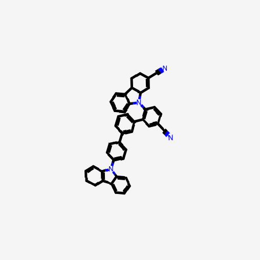 N#CC1=CC2C(CC1)c1ccccc1N2c1ccc(C#N)cc1-c1cccc(-c2ccc(-n3c4c(c5ccccc53)CCC=C4)cc2)c1